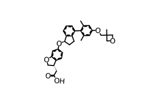 Cc1cc(OCC2(C)COC2)cc(C)c1-c1cccc2c1CC[C@H]2Oc1ccc2c(c1)OC[C@H]2CC(=O)O